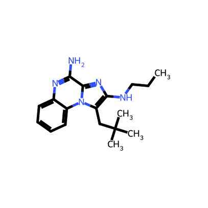 CCCNc1nc2c(N)nc3ccccc3n2c1CC(C)(C)C